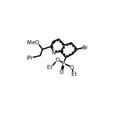 CCOP(=O)(OCC)c1cc(Br)cc2ccc(C(CC(C)C)OC)nc12